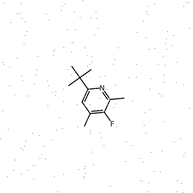 Cc1cc(C(C)(C)C)nc(C)c1F